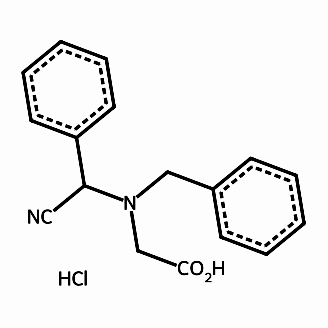 Cl.N#CC(c1ccccc1)N(CC(=O)O)Cc1ccccc1